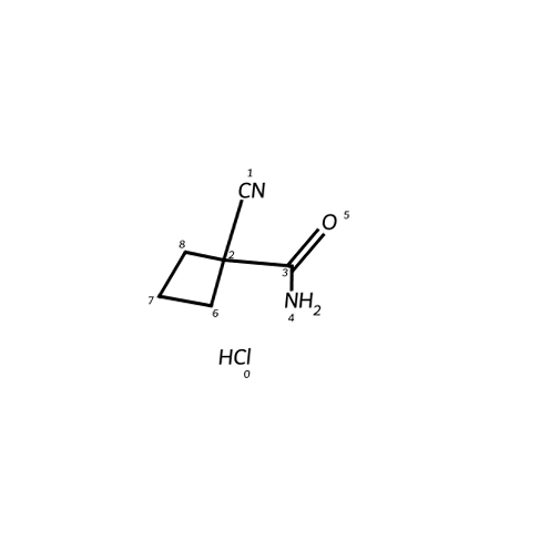 Cl.N#CC1(C(N)=O)CCC1